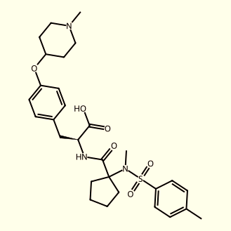 Cc1ccc(S(=O)(=O)N(C)C2(C(=O)N[C@@H](Cc3ccc(OC4CCN(C)CC4)cc3)C(=O)O)CCCC2)cc1